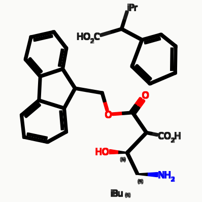 CC(C)C(C(=O)O)c1ccccc1.CC[C@H](C)[C@H](N)[C@@H](O)C(C(=O)O)C(=O)OCC1c2ccccc2-c2ccccc21